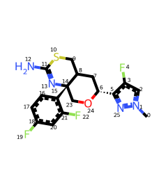 Cn1cc(F)c([C@H]2CC3CSC(N)=N[C@@]3(c3ccc(F)cc3F)CO2)n1